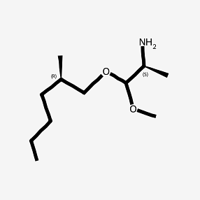 CCCC[C@@H](C)COC(OC)[C@H](C)N